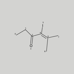 CCC(=O)C(I)=C(C)C